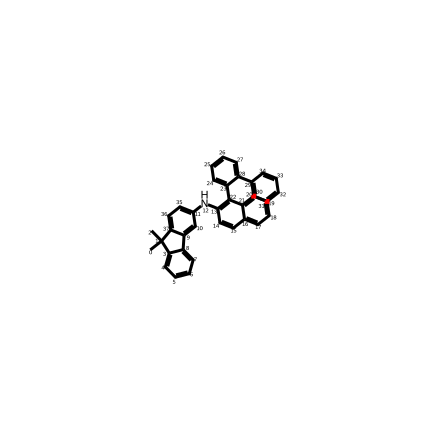 CC1(C)c2ccccc2-c2cc(Nc3ccc4ccccc4c3-c3ccccc3-c3ccccc3)ccc21